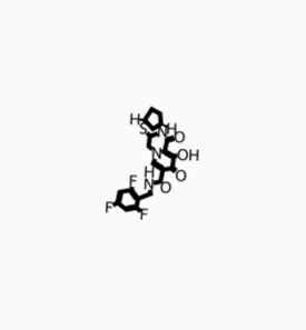 O=C(NCc1c(F)cc(F)cc1F)c1cn2c(c(O)c1=O)C(=O)N1C(C2)S[C@@H]2CC[C@H]1C2